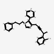 CC(C#CCc1ncn(CCCc2ccccc2)c1-c1ccncc1)c1ccccc1F